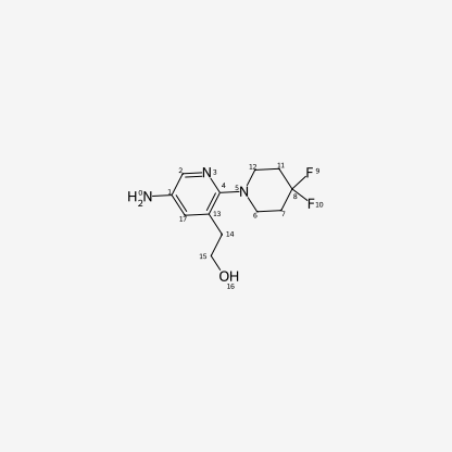 Nc1cnc(N2CCC(F)(F)CC2)c(CCO)c1